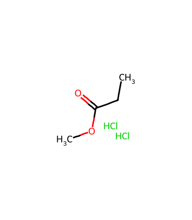 CCC(=O)OC.Cl.Cl